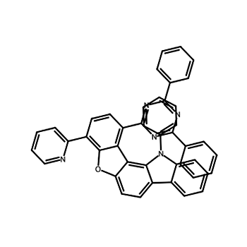 c1ccc(-c2nc(-c3ccccc3)nc(-c3ccc(-c4ccccn4)c4oc5ccc6c7ccccc7n(-c7ccccc7)c6c5c34)n2)cc1